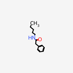 CCCCCNC(=O)Cc1ccccc1